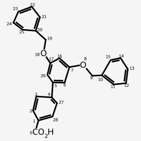 O=C(O)c1ccc(-c2cc(OCc3ccccc3)cc(OCc3ccccc3)c2)cc1